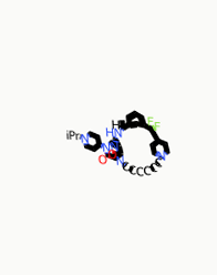 CC(C)N1CCC(n2cc3c4nc(=O)n(c3cc2=O)CCCCCCN2CCC(CC2)C(F)(F)c2cccc(c2)[C@@H](C)N4)CC1